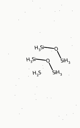 S.[SiH3]O[SiH3].[SiH3]O[SiH3]